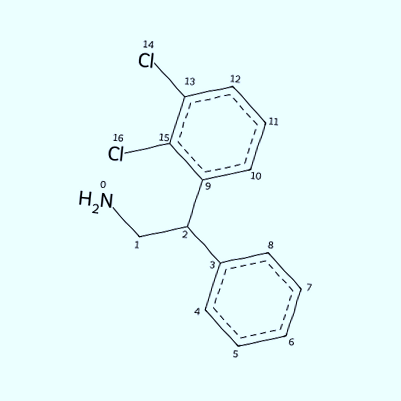 NCC(c1ccccc1)c1cccc(Cl)c1Cl